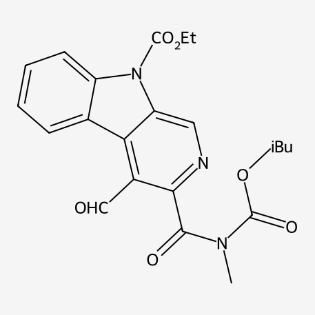 CCOC(=O)n1c2ccccc2c2c(C=O)c(C(=O)N(C)C(=O)OC(C)CC)ncc21